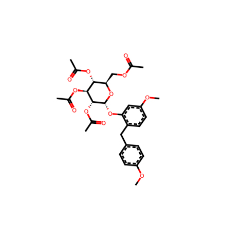 COc1ccc(Cc2ccc(OC)cc2O[C@H]2O[C@H](COC(C)=O)[C@@H](OC(C)=O)[C@H](OC(C)=O)[C@H]2OC(C)=O)cc1